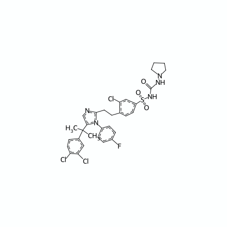 CC(C)(c1ccc(Cl)c(Cl)c1)c1cnc(CCc2ccc(S(=O)(=O)NC(=O)NN3CCCC3)cc2Cl)n1-c1ccc(F)cc1